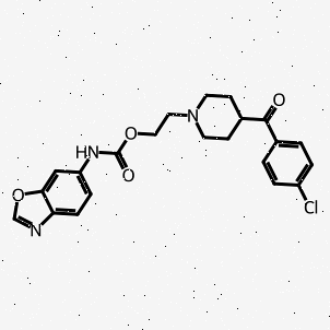 O=C(Nc1ccc2ncoc2c1)OCCN1CCC(C(=O)c2ccc(Cl)cc2)CC1